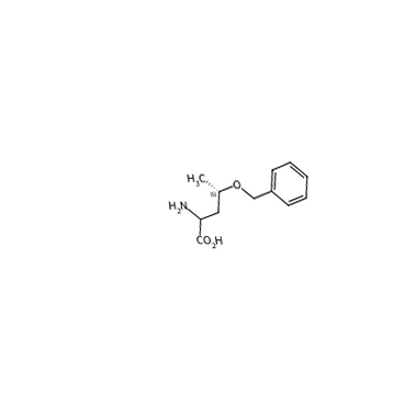 C[C@@H](CC(N)C(=O)O)OCc1ccccc1